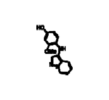 COc1cc(O)ccc1Nc1cnn2ccccc12